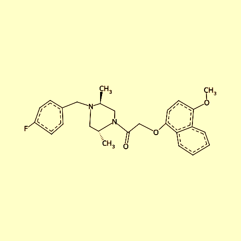 COc1ccc(OCC(=O)N2C[C@H](C)N(Cc3ccc(F)cc3)C[C@H]2C)c2ccccc12